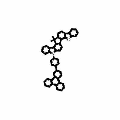 CC1(C)c2ccc3c(oc4ccccc43)c2-c2ccc3c(c21)c1ccccc1n3-c1ccc(-c2ccc3c4ccccc4c4ccccc4c3c2)cc1